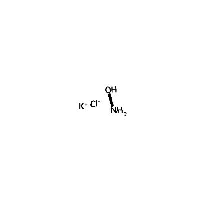 NO.[Cl-].[K+]